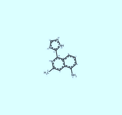 Cc1cc2c(N)cccc2c(-c2ncn[nH]2)n1